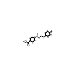 O=C(O)c1ccc(NCCCc2ccc(Cl)cc2)cc1